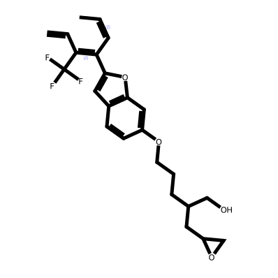 C=C/C(=C(\C=C/C)c1cc2ccc(OCCCC(CO)CC3CO3)cc2o1)C(F)(F)F